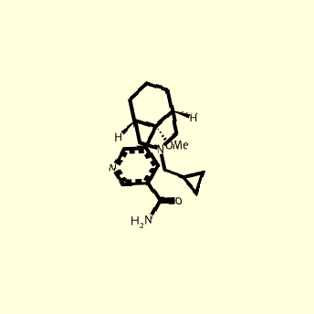 CO[C@@]1(c2cncc(C(N)=O)c2)[C@@H]2CCC[C@H]1CN(CC1CC1)C2